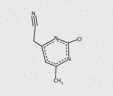 Cc1cc(CC#N)nc(Cl)n1